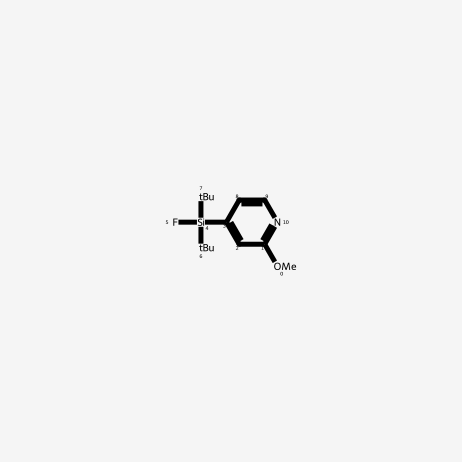 COc1cc([Si](F)(C(C)(C)C)C(C)(C)C)ccn1